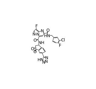 O=C(NCc1ccc(F)c(Cl)c1)c1cc(C(=O)NC2CS(=O)(=O)c3cc(-c4nnn[nH]4)ccc32)n2ncc(F)c2n1